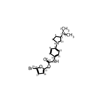 CN(C)C1CCN(c2ccc(NC(=O)Oc3ccc(Br)o3)cc2)C1